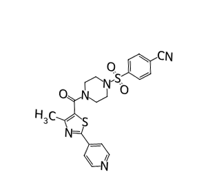 Cc1nc(-c2ccncc2)sc1C(=O)N1CCN(S(=O)(=O)c2ccc(C#N)cc2)CC1